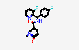 Cn1cc(C(=O)N[C@@H](c2ccc(F)cc2)c2ncccc2F)ccc1=O